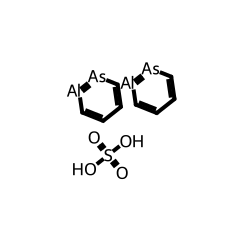 C1=[CH][Al]=[As]C=C1.C1=[CH][Al]=[As]C=C1.O=S(=O)(O)O